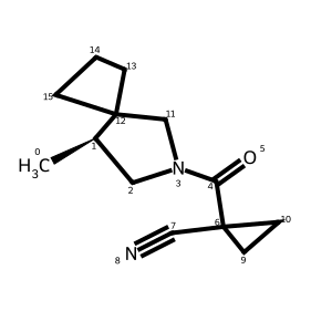 C[C@@H]1CN(C(=O)C2(C#N)CC2)CC12CCC2